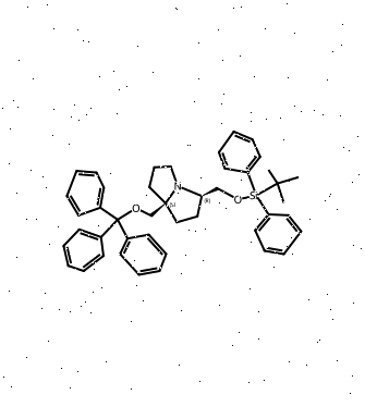 CC(C)(C)[Si](OC[C@H]1CC[C@]2(COC(c3ccccc3)(c3ccccc3)c3ccccc3)CCCN12)(c1ccccc1)c1ccccc1